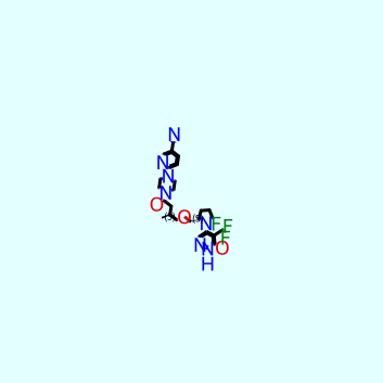 C[C@H](COC[C@@H]1CCCN1c1cn[nH]c(=O)c1C(F)(F)F)CC(=O)N1CCN(c2ccc(C#N)cn2)CC1